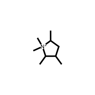 CC1CC(C)[N+](C)(C)C1C